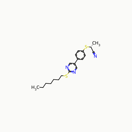 CCCCCCCSc1ncc(-c2ccc(S[C@H](C)C#N)cc2)cn1